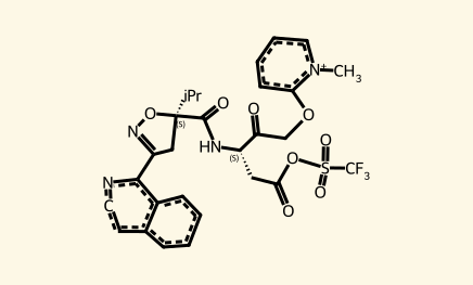 CC(C)[C@]1(C(=O)N[C@@H](CC(=O)OS(=O)(=O)C(F)(F)F)C(=O)COc2cccc[n+]2C)CC(c2nccc3ccccc23)=NO1